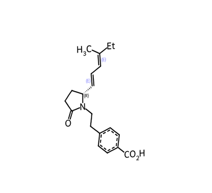 CC/C(C)=C/C=C/[C@H]1CCC(=O)N1CCc1ccc(C(=O)O)cc1